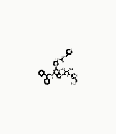 CCn1nnc([C@H]2O[C@@H](n3cnc4c(NCC(c5ccccc5)c5ccccc5)nc(N5CC[C@@H](NC(=O)NCc6ccncc6)C5)nc43)[C@@H](O)[C@@H]2O)n1